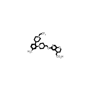 Cc1ccc(C2CCN(CC(F)(F)F)CC2)c(N2CCC(COc3cc4c(cn3)OCCC4CC(=O)O)CC2)c1